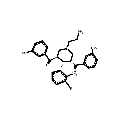 COc1cccc(C(=O)[C@H]2CN(CCN)C[C@H](C(=O)c3cccc(O)c3)[C@H]2c2cccc(F)c2C)c1